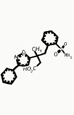 CC(CC(=O)O)(Cc1ccccc1S(N)(=O)=O)c1cc(-c2ccccc2)no1